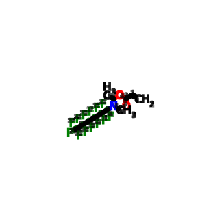 C=CC(=O)OC(C)N(C)C(F)(F)C(F)(F)C(F)(F)C(F)(F)C(F)(F)C(F)(F)F